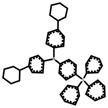 c1ccc(S(c2ccccc2)(c2ccccc2)c2ccc(N(c3ccc(C4CCCCC4)cc3)c3ccc(C4CCCCC4)cc3)cc2)cc1